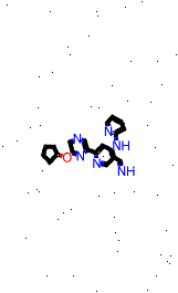 N=Cc1cnc(-c2cncc(OC3CCCC3)n2)cc1Nc1ccccn1